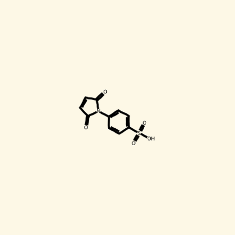 O=C1C=CC(=O)N1c1ccc(S(=O)(=O)O)cc1